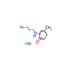 Br.Cc1cc[n+]([O-])c(NCCCBr)c1